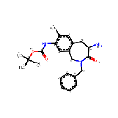 Cc1cc2c(cc1NC(=O)OC(C)(C)C)CN(Cc1ccccc1)C(=O)C(N)C2